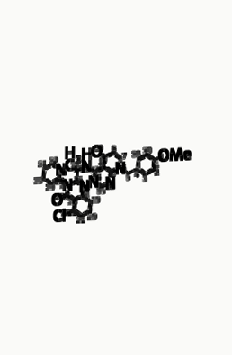 COc1ccc(Cn2ccc(=O)c3c(NC(C)c4nc5cccc(Cl)c5c(=O)n4-c4ccccn4)ncnc32)cc1